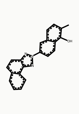 Cc1ccc2cc(-n3nc4ccc5ccccc5c4n3)ccc2c1O